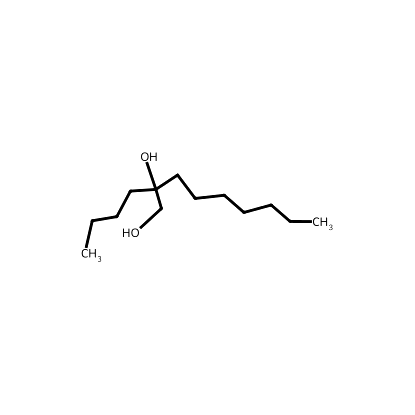 CCCCCCCC(O)(CO)CCCC